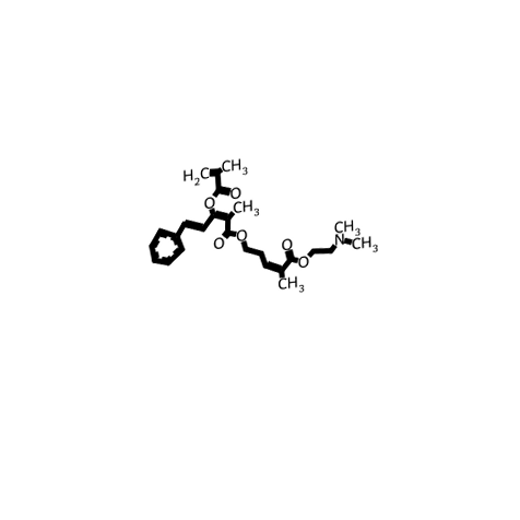 C=C(C)C(=O)OC(C=Cc1ccccc1)=C(C)C(=O)OCCC=C(C)C(=O)OCCN(C)C